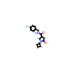 O=C(NCc1ccc(F)cc1)C1CC(=O)N(C2CCC2)C1